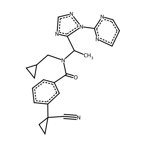 CC(c1ncnn1-c1ncccn1)N(CC1CC1)C(=O)c1cccc(C2(C#N)CC2)c1